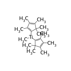 CC1=C(C)C(C)(C)[C]([Ti]([CH3])[C]2=C(C)C(C)=C(C)C2(C)C)=C1C